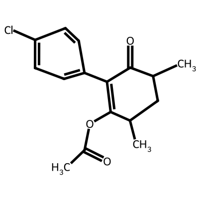 CC(=O)OC1=C(c2ccc(Cl)cc2)C(=O)C(C)CC1C